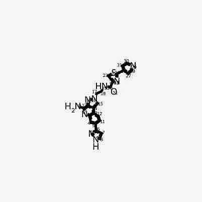 Nc1nc2cc(-c3cc[nH]n3)ccc2c2cn(CCNC(=O)c3csc(-c4ccncc4)n3)nc12